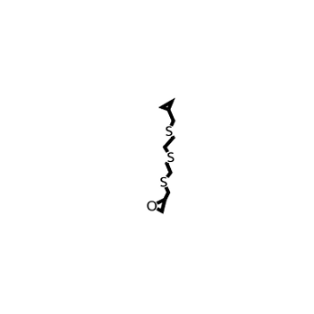 C(CSCC1CC1)SCCSCC1CO1